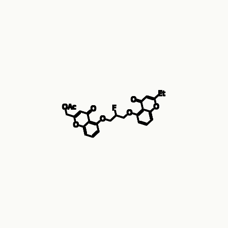 CCc1cc(=O)c2c(OCC(F)COc3cccc4oc(COC(C)=O)cc(=O)c34)cccc2o1